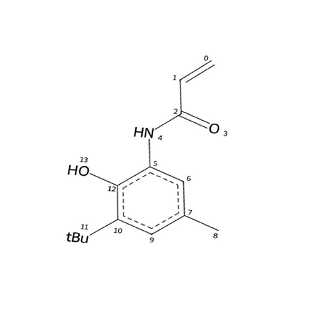 C=CC(=O)Nc1cc(C)cc(C(C)(C)C)c1O